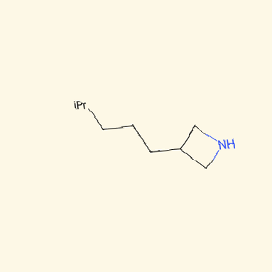 CC(C)CCCC1CNC1